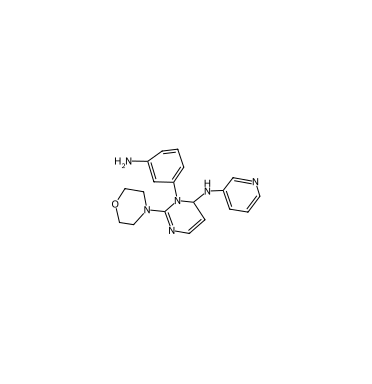 Nc1cccc(N2C(N3CCOCC3)=NC=CC2Nc2cccnc2)c1